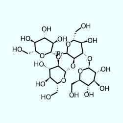 CC(C)C1O[C@H](CO)[C@@H](O)[C@H](O[C@@H]2O[C@H](CO)[C@@H](O)[C@H](O)[C@H]2O)[C@H]1O[C@@H]1O[C@H](CO)[C@@H](O)[C@H](O)[C@H]1O[C@@H]1O[C@H](CO)[C@@H](O)[C@H](O)[C@H]1O